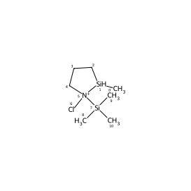 C[SiH]1CCC[N+]1(Cl)[Si](C)(C)C